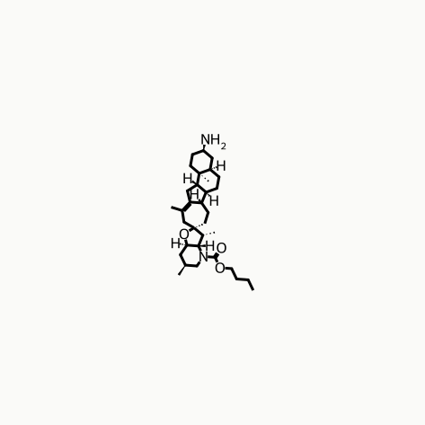 CCCCOC(=O)N1C[C@@H](C)C[C@H]2O[C@]3(CC[C@@H]4C(=C(C)C3)C[C@H]3[C@H]4CC[C@@H]4C[C@H](N)CC[C@@]43C)[C@H](C)[C@@H]21